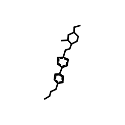 CCCCc1ccc(-c2ccc(CCC3CCC(CC)CC3C)cc2)cc1